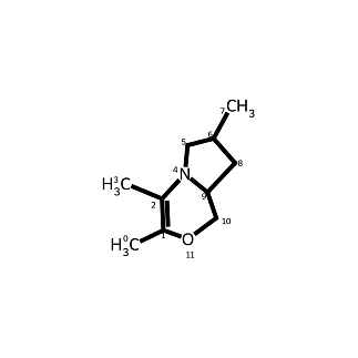 CC1=C(C)N2CC(C)CC2CO1